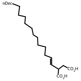 CCCCCCCCCCCCCCCCCCCCC=CC(CC(=O)O)C(=O)O